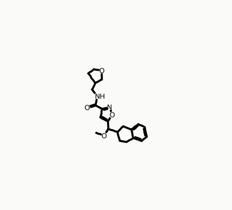 COC(c1cc(C(=O)NCC2CCOC2)no1)C1CCc2ccccc2C1